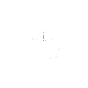 O=[N+]([O-])C1(O)[CH]C=CC=C1